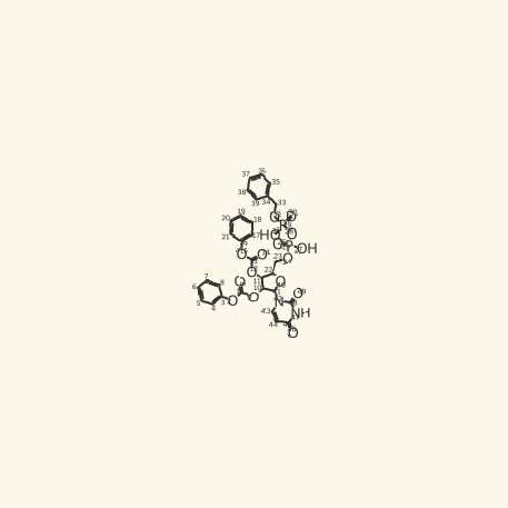 O=C(Oc1ccccc1)OC1[C@@H](OC(=O)Oc2ccccc2)[C@@H](COP(=O)(O)OP(=O)(O)OCc2ccccc2)O[C@H]1n1ccc(=O)[nH]c1=O